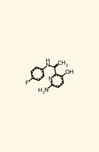 C=C(Nc1ccc(F)cc1)c1nc(N)ccc1O